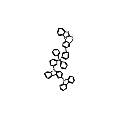 c1ccc([Si](c2ccccc2)(c2cccc(-c3ccc4c(c3)CSc3nc5ccccc5n3-4)c2)c2cccc(-n3c4ccccc4c4cc(-n5c6ccccc6c6ccccc65)ccc43)c2)cc1